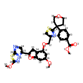 COC(=O)c1ccc(C2(c3nc(COc4cc(OC)cc5oc(-c6cnc7sc(OC)nn67)cc45)cs3)CCOCC2)cc1